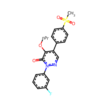 CCCOc1c(-c2ccc(S(C)(=O)=O)cc2)cnn(-c2cccc(F)c2)c1=O